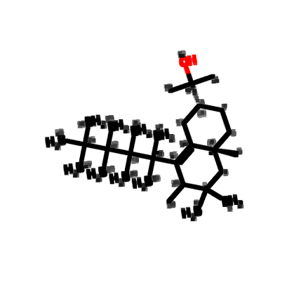 BC1(B)C[C@@]2(C)CC[C@@H](C(C)(C)O)CC2=C(C(B)(B)C(B)(B)C(B)(B)C(B)(B)B)C1C